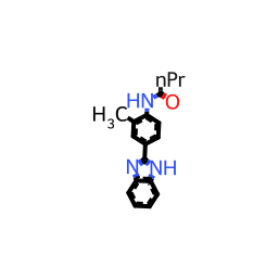 CCCC(=O)Nc1ccc(-c2nc3ccccc3[nH]2)cc1C